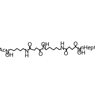 CCCCCCCN(O)C(=O)CCC(=O)NCCCCCN(O)C(=O)CCC(=O)NCCCCCN(O)C(C)=O